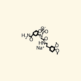 COc1ccc(CCNC(=O)CN(CS(=O)(=O)[O-])c2cccc(C(N)=O)c2)cc1OC.[Na+]